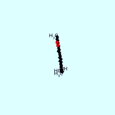 CCCCCCCCCCCCCCCCCCCC=CNC(O)CC